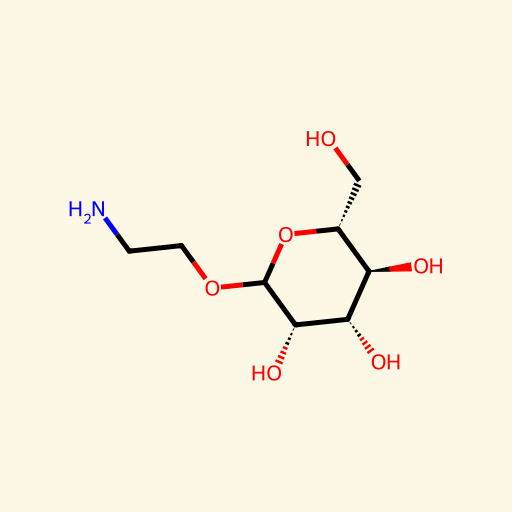 NCCOC1O[C@H](CO)[C@@H](O)[C@H](O)[C@@H]1O